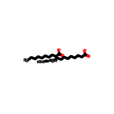 CCCCCCCCCC(=O)[O-].CCCCCCCCCC(=O)[O-].CCCCCCC[CH2][Sn+2][CH2]CCCCCCC